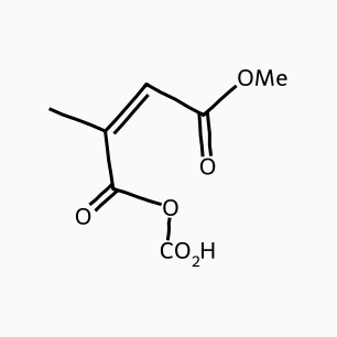 COC(=O)C=C(C)C(=O)OC(=O)O